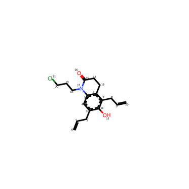 C=CCc1cc2c(c(CC=C)c1O)CCC(=O)N2CCCCl